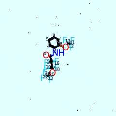 O=C(Nc1ccccc1OC(F)(F)F)C(F)(F)C(F)(F)OC(F)(F)F